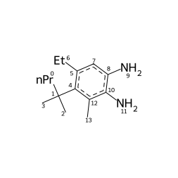 CCCC(C)(C)c1c(CC)cc(N)c(N)c1C